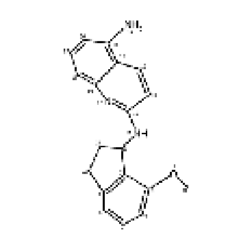 COc1cccc2c1C(Nc1ccc3c(N)cccc3n1)CC2